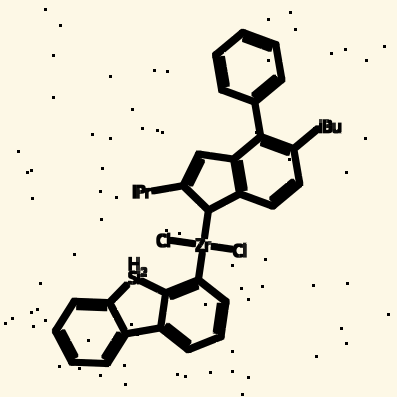 CCC(C)c1ccc2c(c1-c1ccccc1)C=C(C(C)C)[CH]2[Zr]([Cl])([Cl])[c]1cccc2c1[SiH2]c1ccccc1-2